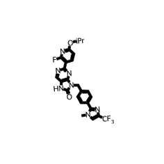 CC(C)Oc1ccc(-c2ncc3[nH]c(=O)n(Cc4ccc(-c5nc(C(F)(F)F)cn5C)cc4)c3n2)c(F)n1